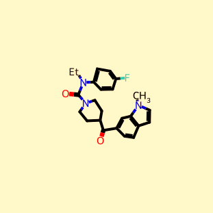 CCN(C(=O)N1CCC(C(=O)c2ccc3ccn(C)c3c2)CC1)c1ccc(F)cc1